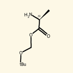 C[C@H](N)C(=O)OCOC(C)(C)C